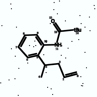 C=CCC(C)c1ccccc1NC(=O)C(C)(C)C